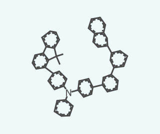 CC1(C)c2ccccc2-c2cccc(-c3ccc(N(c4ccccc4)c4ccc(-c5cccc(-c6cccc(-c7ccc8ccccc8c7)c6)c5)cc4)cc3)c21